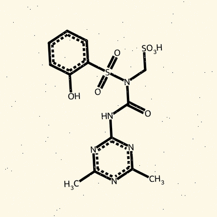 Cc1nc(C)nc(NC(=O)N(CS(=O)(=O)O)S(=O)(=O)c2ccccc2O)n1